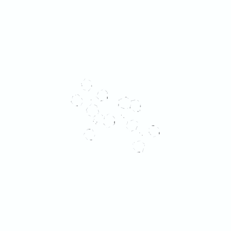 Fc1ccc(-n2c3ccc(N(c4ccc(N(c5ccccc5)c5ccccc5)cc4)c4cccc5ccccc45)cc3c3cc([Si](c4ccccc4)(c4ccccc4)c4ccccc4)ccc32)cc1